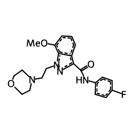 COc1cccc2c(C(=O)Nc3ccc(F)cc3)nn(CCN3CCOCC3)c12